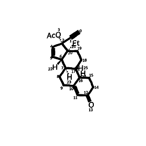 C#C[C@]1(OC(C)=O)C=C[C@H]2[C@@H]3CCC4=CC(=O)CC[C@@H]4[C@H]3CC[C@@]21CC